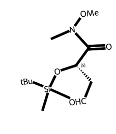 CON(C)C(=O)[C@H](CC=O)O[Si](C)(C)C(C)(C)C